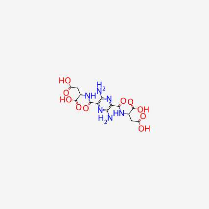 Nc1nc(C(=O)NC(CC(=O)O)C(=O)O)c(N)nc1C(=O)NC(CC(=O)O)C(=O)O